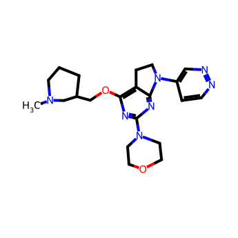 CN1CCCC(COc2nc(N3CCOCC3)nc3c2CCN3c2ccnnc2)C1